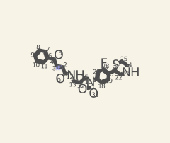 O=C(/C=C/C(=O)c1ccccc1)NCC1CN(c2ccc(C3CNCCS3)c(F)c2)C(=O)O1